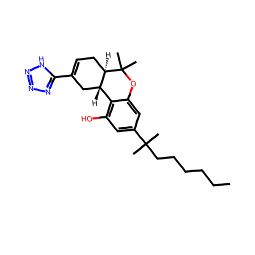 CCCCCCC(C)(C)c1cc(O)c2c(c1)OC(C)(C)[C@@H]1CC=C(c3nnn[nH]3)C[C@@H]21